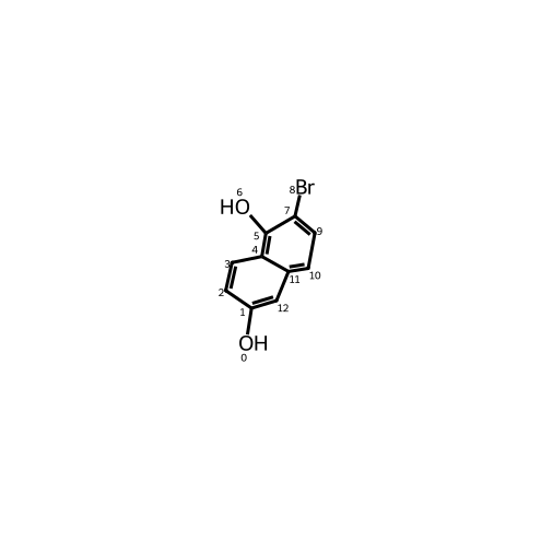 Oc1ccc2c(O)c(Br)ccc2c1